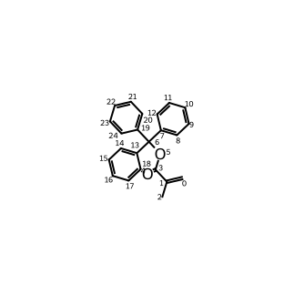 C=C(C)C(=O)OC(c1ccccc1)(c1ccccc1)c1ccccc1